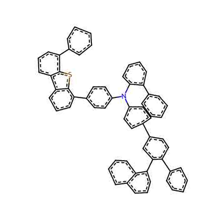 c1ccc(-c2ccc(-c3ccc(N(c4ccc(-c5cccc6c5sc5c(-c7ccccc7)cccc56)cc4)c4ccccc4-c4ccccc4)cc3)cc2-c2cccc3ccccc23)cc1